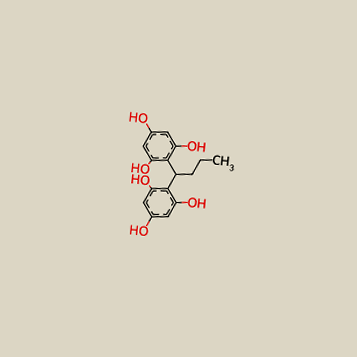 CCCC(c1c(O)cc(O)cc1O)c1c(O)cc(O)cc1O